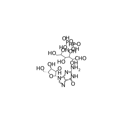 Nc1nc2c(ncn2[C@@H]2O[C@H](CO)[C@@H](O)[C@H]2O)c(=O)[nH]1.O=CC(O)C(O)C(O)C(O)CO.O=[PH](O)O[PH](=O)O